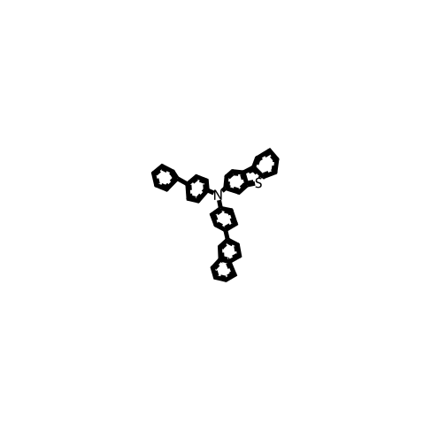 c1ccc(-c2ccc(N(c3ccc(-c4ccc5ccccc5c4)cc3)c3ccc4c(c3)sc3ccccc34)cc2)cc1